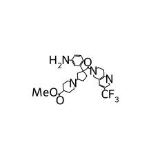 COC(=O)C1CCN(C2CCC(C(=O)N3CCc4ncc(C(F)(F)F)cc4C3)(c3cccc(N)c3)C2)CC1